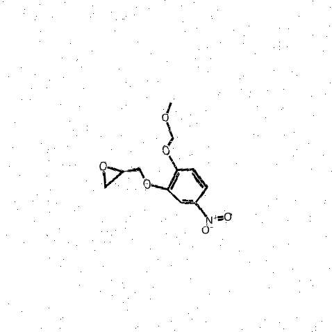 COCOc1ccc([N+](=O)[O-])cc1OC[C@H]1CO1